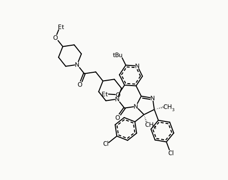 CCOc1cc(C(C)(C)C)ncc1C1=N[C@@](C)(c2ccc(Cl)cc2)[C@@](C)(c2ccc(Cl)cc2)N1C(=O)N1CCC(CC(=O)N2CCC(OCC)CC2)CC1